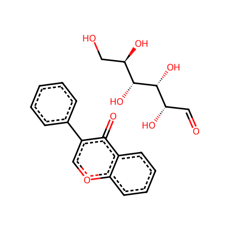 O=C[C@H](O)[C@@H](O)[C@H](O)[C@H](O)CO.O=c1c(-c2ccccc2)coc2ccccc12